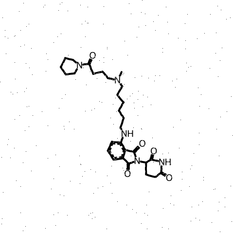 CN(CCCCCCNc1cccc2c1C(=O)N(C1CCC(=O)NC1=O)C2=O)CCCC(=O)N1CCCCC1